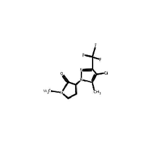 Cc1c(Cl)c(C(F)(F)F)nn1C1CCN(C)C1=O